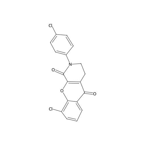 O=C1c2oc3c(Cl)cccc3c(=O)c2CCN1c1ccc(Cl)cc1